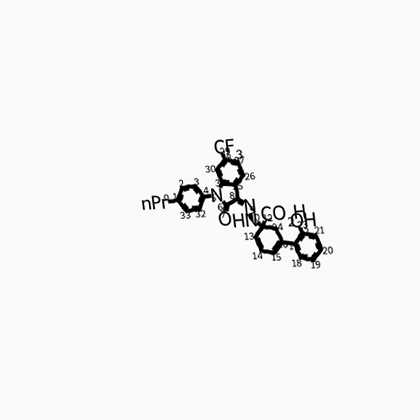 CCCc1ccc(N2C(=O)C(=NNC3(C(=O)O)C=CC=C(c4ccccc4O)C3)c3ccc(C(F)(F)F)cc32)cc1